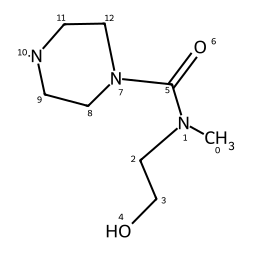 CN(CCO)C(=O)N1CC[N]CC1